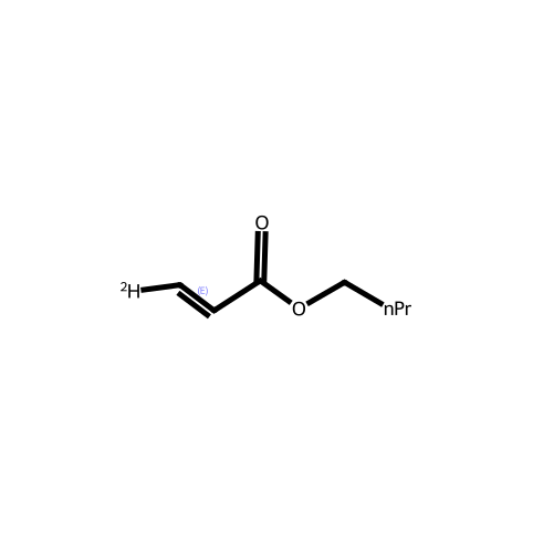 [2H]/C=C/C(=O)OCCCC